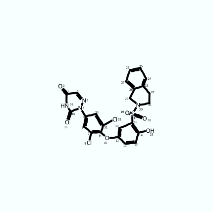 O=c1cnn(-c2cc(Cl)c(Oc3ccc(O)c(S(=O)(=O)N4CCc5ccccc5C4)c3)c(Cl)c2)c(=O)[nH]1